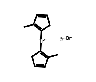 CC1=[C]([Ti+2][C]2=C(C)C=CC2)CC=C1.[Br-].[Br-]